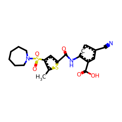 Cc1sc(C(=O)Nc2ccc(C#N)cc2C(=O)O)cc1S(=O)(=O)N1CCCCCC1